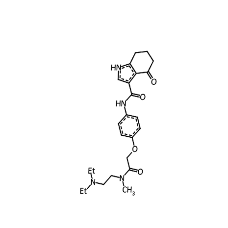 CCN(CC)CCN(C)C(=O)COc1ccc(NC(=O)c2c[nH]c3c2C(=O)CCC3)cc1